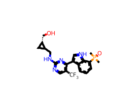 CP(C)(=O)c1cccc2c(-c3nc(NCC4C[C@@H]4CO)ncc3C(F)(F)F)c[nH]c12